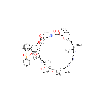 COC1CC(C[C@@H]2C3CC(=O)C(C)/C=C(\C)C(O)[C@@H](OC)C(=O)C(C)CC(C)/C=C/C=C/C=C(\C)[C@@H](OC)C[C@@H]4CCC(C)C(O)(O4)C(=O)C(=O)N4CCCC2C4C(=O)O3)CC[C@H]1OP(=O)(c1ccccc1)c1ccccc1